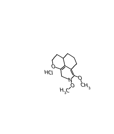 COC1=C2CCCC3CCOC(=C23)CN1OC.Cl